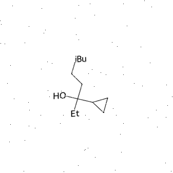 CCC(C)CCC(O)(CC)C1CC1